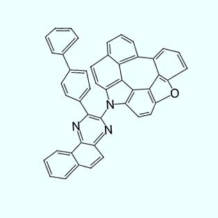 c1ccc(-c2ccc(-c3nc4c(ccc5ccccc54)nc3-n3c4ccc5cccc6c5c4c4c5c(ccc43)oc3cccc-6c35)cc2)cc1